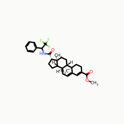 COC(=O)C1=CC2=CC[C@H]3[C@@H]4CC[C@H](C(=O)NC(c5ccccc5)C(F)(F)F)[C@@]4(C)CC[C@@H]3[C@@]2(C)CC1